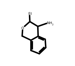 CCC1OCc2ccccc2C1N